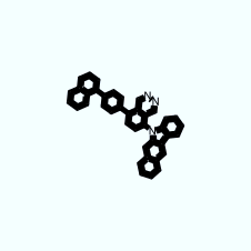 c1ccc2cc3c(cc2c1)c1ccccc1n3-c1ccc(-c2ccc(-c3cccc4ccccc34)cc2)c2cnncc12